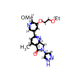 CCOCCOc1cc(-c2cc(C)c3c(n2)CN(c2cn[nH]c2)C3=O)cnc1OC